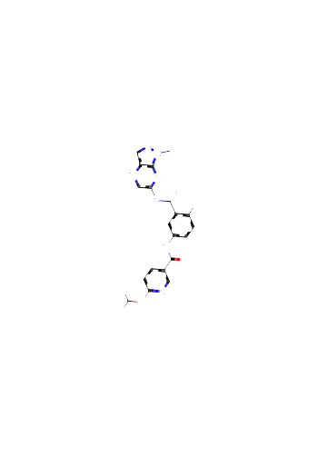 C[C@H](Nc1cnc2cnn(C)c2n1)c1cc(NC(=O)c2ccc(OC(F)F)nc2)ccc1F